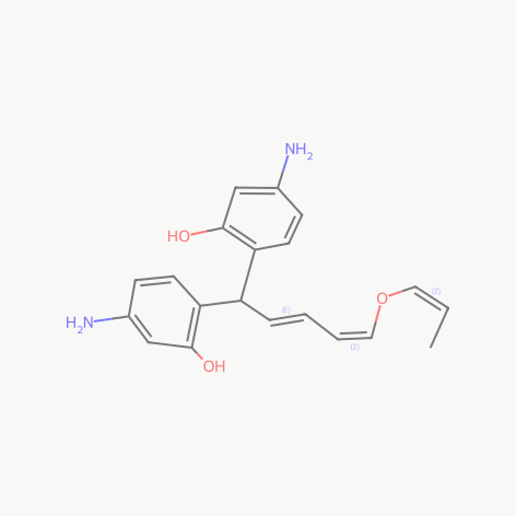 C/C=C\O/C=C\C=C\C(c1ccc(N)cc1O)c1ccc(N)cc1O